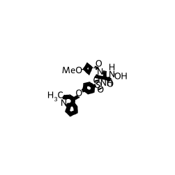 CO[C@H]1C[C@@H](C(=O)N2CC(NS(=O)(=O)c3ccc(OCc4cc(C)nc5ccccc45)cc3)(C(=O)NO)C2)C1